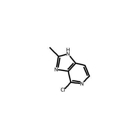 Cc1nc2c(Cl)nccc2[nH]1